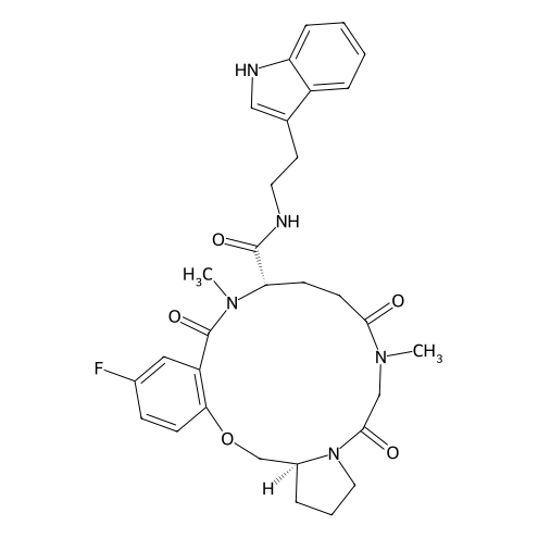 CN1CC(=O)N2CCC[C@H]2COc2ccc(F)cc2C(=O)N(C)[C@H](C(=O)NCCc2c[nH]c3ccccc23)CCC1=O